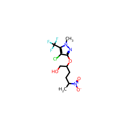 [CH2]C(CCC(CO)Oc1nn(C)c(C(F)(F)F)c1Cl)[N+](=O)[O-]